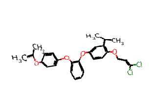 CC(C)Oc1ccc(Oc2ccccc2Oc2ccc(OCC=C(Cl)Cl)c(C(C)C)c2)cc1